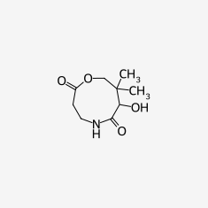 CC1(C)COC(=O)CCNC(=O)C1O